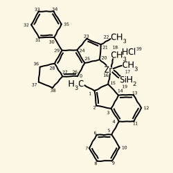 CC1=Cc2c(-c3ccccc3)cccc2[CH]1[Zr]([CH3])([CH3])(=[SiH2])[CH]1C(C)=Cc2c1cc1c(c2-c2ccccc2)CCC1.Cl